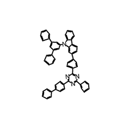 c1ccc(-c2ccc(-c3nc(-c4ccccc4)nc(-c4ccc(-c5ccc6c7ccccc7n(-c7cc(-c8ccccc8)cc(-c8ccccc8)c7)c6c5)cc4)n3)cc2)cc1